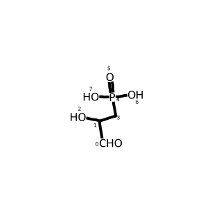 O=CC(O)CP(=O)(O)O